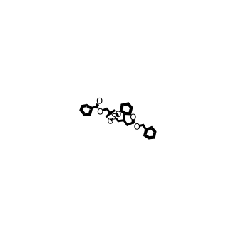 CC(C)(COC(=O)c1ccccc1)S(=O)(=O)CC(CC(=O)OCc1ccccc1)c1ccccc1